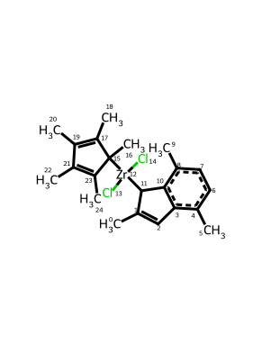 CC1=Cc2c(C)ccc(C)c2[CH]1[Zr]([Cl])([Cl])[C]1(C)C(C)=C(C)C(C)=C1C